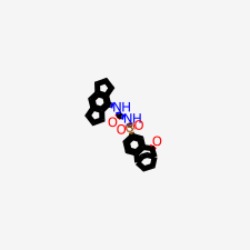 O=C(Nc1c2c(cc3c1CCC3)CCC2)NS(=O)(=O)c1ccc2c(c1)C(=O)C1CCC2CC1